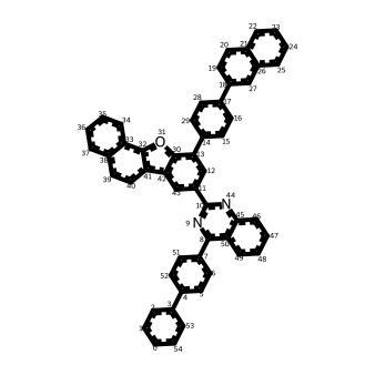 c1ccc(-c2ccc(-c3nc(-c4cc(-c5ccc(-c6ccc7ccccc7c6)cc5)c5oc6c7ccccc7ccc6c5c4)nc4ccccc34)cc2)cc1